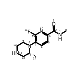 CNC(=O)c1ccc(N2CCNC[C@H]2C)c(F)n1